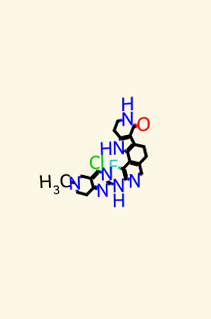 CN1CCc2nc(Nc3ncc4c(c3F)-c3[nH]c5c(c3CC4)C(=O)NCC5)nc(Cl)c2C1